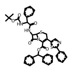 CC(C)(C)OC(=O)NC(C(=O)NC1C(=O)N2C(C(=O)OC(c3ccccc3)c3ccccc3)=C(c3cnc(-c4ccccc4)s3)CSC12)c1ccccc1